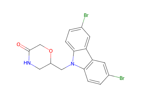 O=C1COC(Cn2c3ccc(Br)cc3c3cc(Br)ccc32)CN1